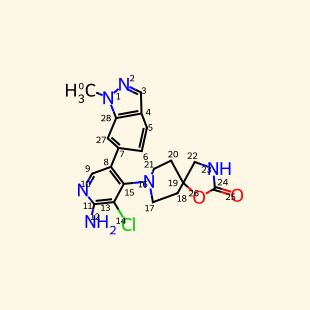 Cn1ncc2ccc(-c3cnc(N)c(Cl)c3N3CCC4(CC3)CNC(=O)O4)cc21